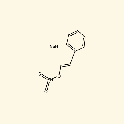 O=[SH](=S)OC=Cc1ccccc1.[NaH]